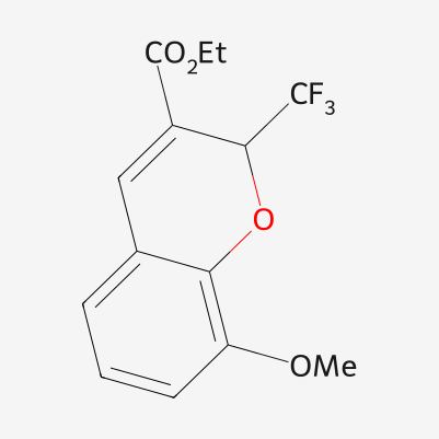 CCOC(=O)C1=Cc2cccc(OC)c2OC1C(F)(F)F